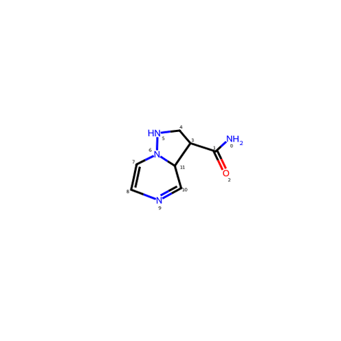 NC(=O)C1CNN2C=CN=CC12